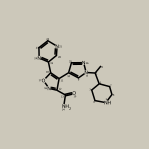 CC(C1CCNCC1)n1cc(-c2c(C(N)=O)noc2-c2cnccn2)cn1